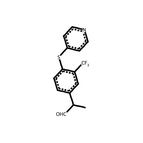 CC(C=O)c1ccc(Sc2ccncc2)c(C(F)(F)F)c1